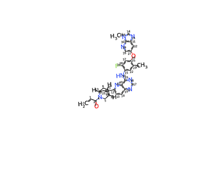 C=CC(=O)N1C[C@H]2CC[C@@H]1C[C@@H]2c1ccc2ncnc(Nc3cc(C)c(Oc4cnc5c(c4)ncn5C)cc3F)c2n1